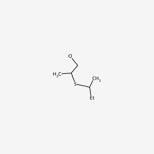 CCC(C)SC(C)C[O]